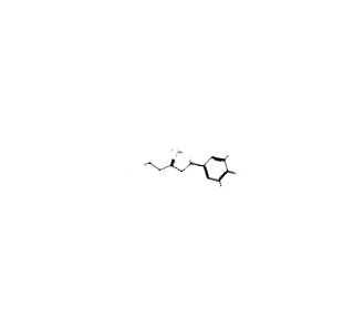 CC(C)(C)c1cc(C2CC(CCC(=O)O)=NO2)cc(C(C)(C)C)c1O